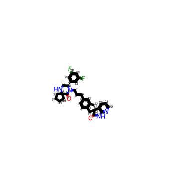 O=C1N(C/C=C/c2ccc3c(c2)C[C@@]2(C3)C(=O)Nc3ncccc32)[C@H](c2cc(F)cc(F)c2)CNC12CCCC2